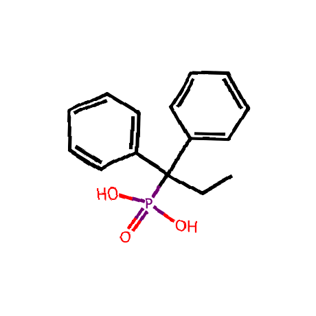 CCC(c1ccccc1)(c1ccccc1)P(=O)(O)O